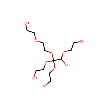 OCCOCCOC(OCCO)(OCCO)C(O)OCCO